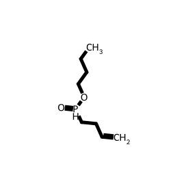 C=CCC[PH](=O)OCCCC